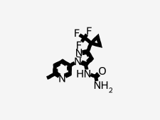 Cc1ccc(-n2nc(C3(C(F)(F)F)CC3)cc2NC(N)=O)cn1